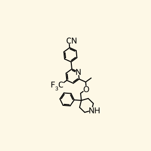 CC(OCC1(c2ccccc2)CCNCC1)c1cc(C(F)(F)F)cc(-c2ccc(C#N)cc2)n1